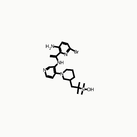 C=C(Nc1cnccc1N1CCCC(CC(C)(C)[Si](C)(C)O)C1)c1nc(Br)ccc1N